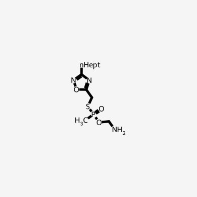 CCCCCCCc1noc(CSP(C)(=O)OCN)n1